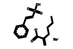 C=C(CCCC)C(=O)[O-].O=S(=O)(O)C=Cc1ccccc1.[Na+]